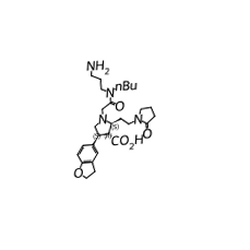 CCCCN(CCCN)C(=O)CN1C[C@H](c2ccc3c(c2)CCO3)[C@@H](C(=O)O)[C@@H]1CCN1CCCC1=O